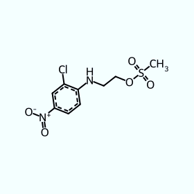 CS(=O)(=O)OCCNc1ccc([N+](=O)[O-])cc1Cl